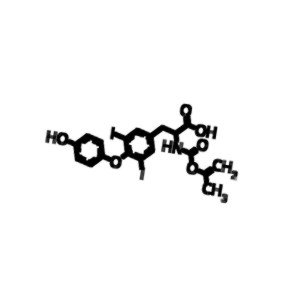 C=C(C)OC(=O)NC(Cc1cc(I)c(Oc2ccc(O)cc2)c(I)c1)C(=O)O